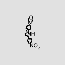 O=[N+]([O-])c1ccc(C2=CCN(c3ccc(N4CCOCC4)cc3)N2)cc1